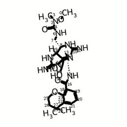 CON(C)C(=O)NC[C@@H]1NC(=N)N2C[C@H](NC(=O)c3cccc4c3OCCC4(C)C)C(O)(O)[C@@]23NC(=N)N[C@@H]13